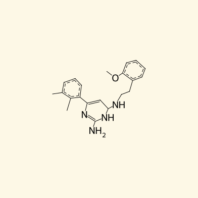 COc1ccccc1CCNC1C=C(c2cccc(C)c2C)N=C(N)N1